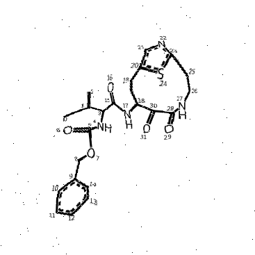 CC(C)C(NC(=O)OCc1ccccc1)C(=O)NC1Cc2cnc(s2)CCNC(=O)C1=O